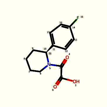 O=C(O)C(=O)N1CCCC[C@H]1c1ccc(F)cc1